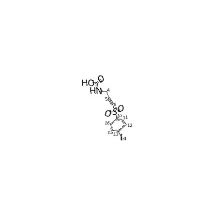 O=C(O)NCC#CS(=O)(=O)c1ccc(I)cc1